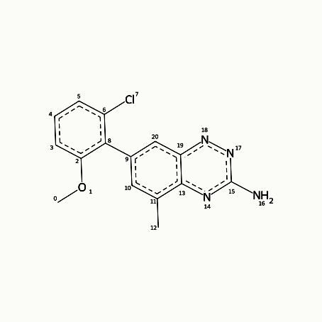 COc1cccc(Cl)c1-c1cc(C)c2nc(N)nnc2c1